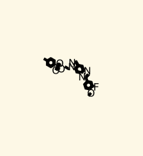 COc1ccc(-c2cnc3cc4cnn(CCOS(=O)(=O)c5ccc(C)cc5)c4cc3n2)cc1F